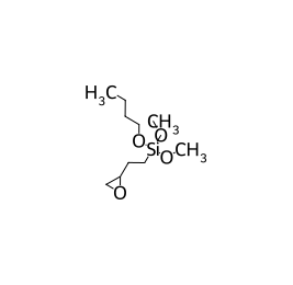 CCCCO[Si](CCC1CO1)(OC)OC